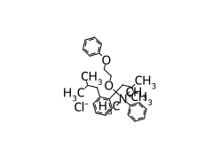 CC(C)Cc1ccccc1C(CC(C)C)(OCCOc1ccccc1)[N+](C)(C)c1ccccc1.[Cl-]